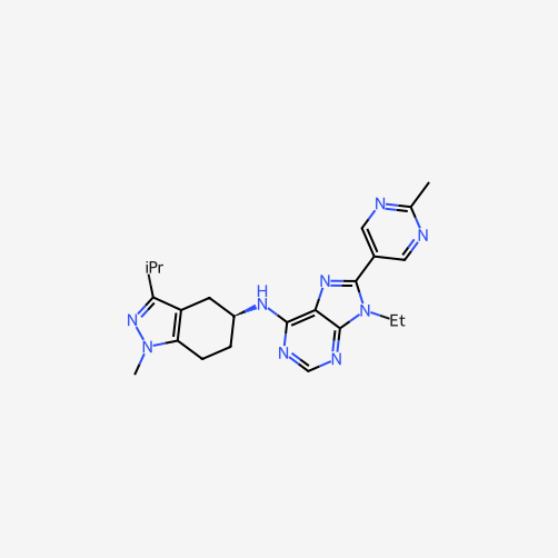 CCn1c(-c2cnc(C)nc2)nc2c(N[C@H]3CCc4c(c(C(C)C)nn4C)C3)ncnc21